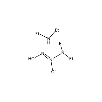 CCN(CC)[N+]([O-])=NO.CCNCC